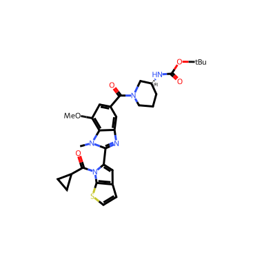 COc1cc(C(=O)N2CCC[C@@H](NC(=O)OC(C)(C)C)C2)cc2nc(-c3cc4ccsc4n3C(=O)C3CC3)n(C)c12